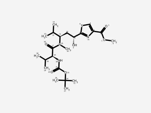 COC(=O)c1csc([C@H](O)C[C@H](C(C)C)N(C)C(=O)[C@@H](NC(=O)OC(C)(C)C)C(C)C)n1